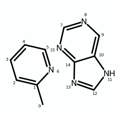 Cc1ccccn1.c1ncc2[nH]cnc2n1